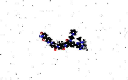 CCC1(C(=O)N2CCC3(CC2)C(=O)N(C2CC(N4CCCCC4)C2)c2cc(-c4cc5ncn(C(C)C)c5c(NC5CC5)n4)ccc23)CCN(C(=O)C2CCN(c3ccc(C4CCC(=O)NC4=O)cn3)CC2)CC1